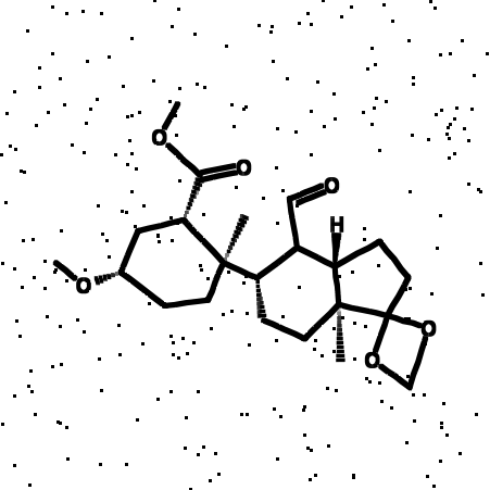 COC(=O)[C@H]1C[C@@H](OC)CC[C@]1(C)[C@H]1CC[C@@]2(C)[C@@H](CCC23OCO3)C1C=O